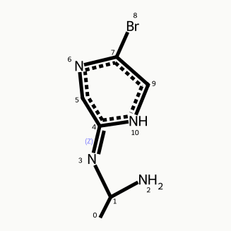 CC(N)/N=c1/cnc(Br)c[nH]1